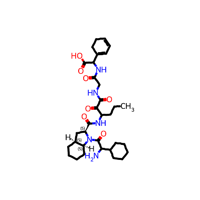 CCCC(NC(=O)[C@@H]1C[C@@H]2CCCC[C@@H]2N1C(=O)C(N)C1CCCCC1)C(=O)C(=O)NCC(=O)NC(C(=O)O)C1=CC=CCC1